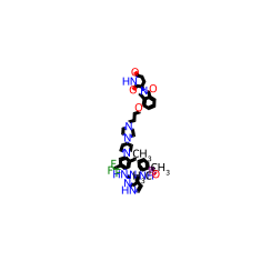 CCc1cc(Nc2nc(Nc3ccccc3P(C)(C)=O)c3cc[nH]c3n2)c(C(F)(F)F)cc1N1CCC(N2CCN(CCCCOc3cccc4c3CN(C3CCC(=O)NC3=O)C4=O)CC2)CC1